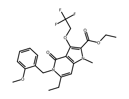 CCOC(=O)c1c(OCC(F)(F)F)c2c(=O)n(Cc3ccccc3OC)c(CC)cc2n1C